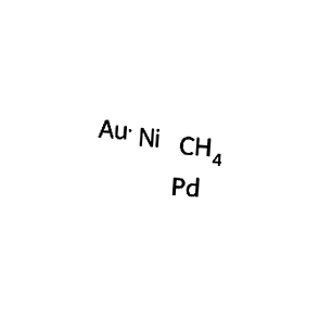 C.[Au].[Ni].[Pd]